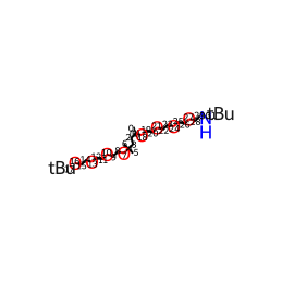 C[C@H](CCC(C)(C)OCCOCCOCCOC(C)(C)C)OCCOCCOCCOCCNC(C)(C)C